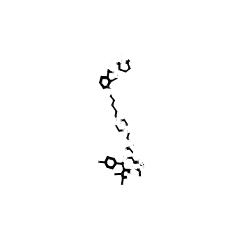 Cc1sc2c(c1C)C(c1ccc(Cl)cc1)=N[C@@H](CC(=O)NCCN1CCN(CCCCCSc3cccc4c3CN(C3CCC(=O)NC3=O)C4=O)CC1)c1nnc(C)n1-2